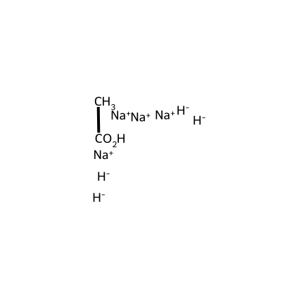 CC(=O)O.[H-].[H-].[H-].[H-].[Na+].[Na+].[Na+].[Na+]